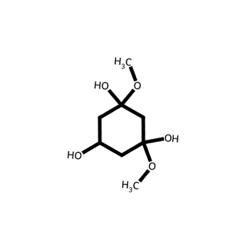 COC1(O)CC(O)CC(O)(OC)C1